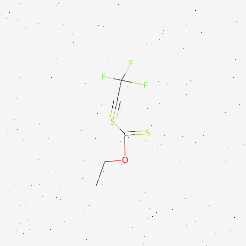 CCOC(=S)S#CC(F)(F)F